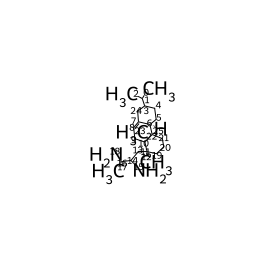 CC(C)C1CC[C@@H]2C(=CCC3[C@@](C)(CC(N)C(C)N)CCC[C@@]32C)C1